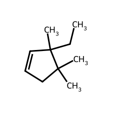 CCC1(C)C=CCC1(C)C